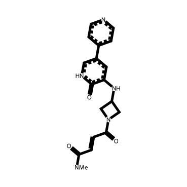 CNC(=O)/C=C/C(=O)N1CC(Nc2cc(-c3ccncc3)c[nH]c2=O)C1